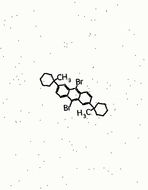 CC1(c2ccc3c(Br)c4cc(C5(C)CCCCC5)ccc4c(Br)c3c2)CCCCC1